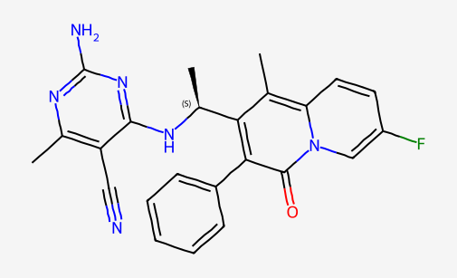 Cc1nc(N)nc(N[C@@H](C)c2c(-c3ccccc3)c(=O)n3cc(F)ccc3c2C)c1C#N